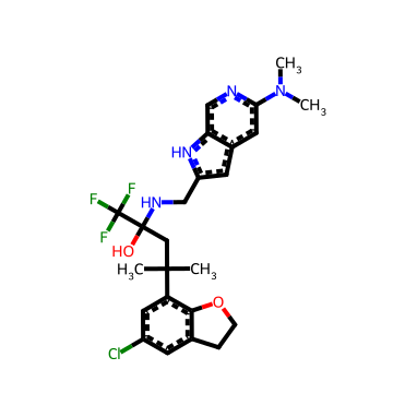 CN(C)c1cc2cc(CNC(O)(CC(C)(C)c3cc(Cl)cc4c3OCC4)C(F)(F)F)[nH]c2cn1